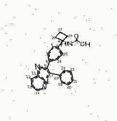 O=C(O)NC1(c2ccc(-c3nc4cccnn4c3-c3ccccc3)cc2)CCC1